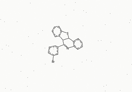 Brc1cccc(C2=Nc3ccccc3C3Sc4ccccc4C23)c1